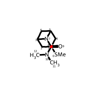 CSN1CC2CC(C1)N2C(=O)N(C)C